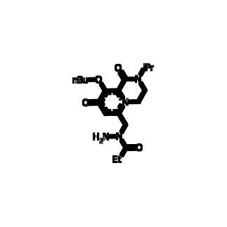 CCCCOc1c2n(c(CN(N)C(=O)CC)cc1=O)CCN(C(C)C)C2=O